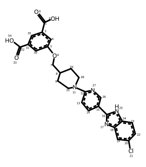 O=C(O)c1cc(OCC2CCN(c3ccc(-c4nc5cc(Cl)ccc5[nH]4)cn3)CC2)cc(C(=O)O)c1